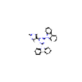 Cc1nc(C)c(-c2nc(-n3c4ccccc4c4ccccc43)nc(-n3c4ccccc4c4ccccc43)n2)c(C)n1